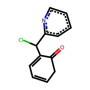 O=C1CC=CC=C1C(Cl)c1ccccn1